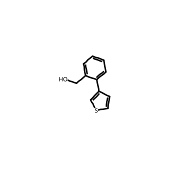 OCc1ccccc1-c1ccsc1